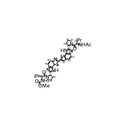 COC(=O)N[C@H](C(=O)N1CCC[C@H]1c1nc2c([nH]1)C1SC(c3cc4ccc5nc([C@@H]6CCCN6C(=O)[C@@H](NC(C)=O)C(C)C)[nH]c5c4s3)=NC1C=C2)C(C)C